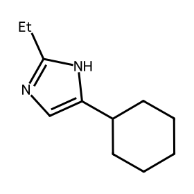 CCc1ncc(C2CCCCC2)[nH]1